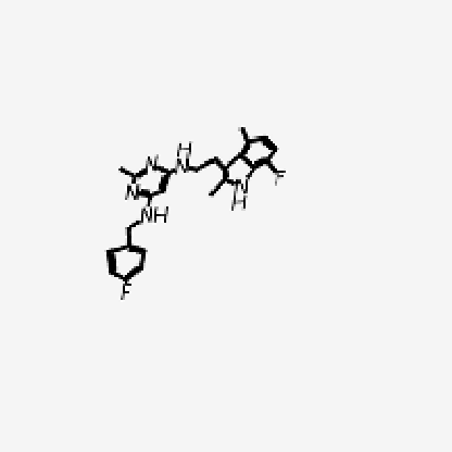 Cc1nc(NCCc2c(C)[nH]c3c(F)ccc(C)c23)cc(NCc2ccc(F)cc2)n1